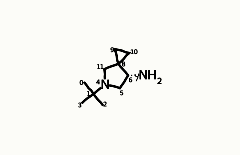 CC(C)(C)N1C[C@@H](N)C2(CC2)C1